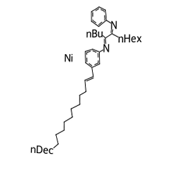 CCCCCCCCCCCCCCCCCCC/C=C/c1cccc(/N=C(CCCC)/C(CCCCCC)=N\c2ccccc2)c1.[Ni]